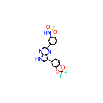 CS(=O)(=O)Nc1cccc(-c2cnc3[nH]cc(-c4ccc5c(c4)OC(F)(F)O5)c3n2)c1